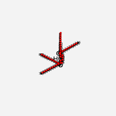 CCCCCCCCCCCCCCCCCCN(CCCCCCCCCCCCCCCCCC)C(=O)c1ccc(CN(O)Cc2ccc(C(=O)N(CCCCCCCCCCCCCCCCCC)CCCCCCCCCCCCCCCCCC)cc2)cc1